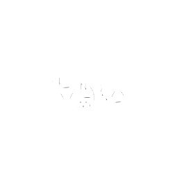 COc1ccc(Cl)cc1-c1ccc(C(=O)Nc2ccc3c(c2)CCC3)cn1